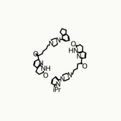 CC(C)c1cccc(N2CCN(CCCCC(=O)c3ccc4c(n3)NC(=O)CC4)CC2)n1.O=C1CCc2ccc(C(=O)CCCCN3CCN(c4cccc5c4CCC5)CC3)nc2N1